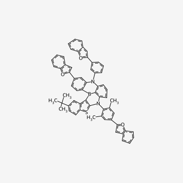 Cc1cc(-c2cc3ccccc3o2)cc(C)c1N1c2cccc3c2B(c2ccc(-c4cc5ccccc5o4)cc2N3c2cccc(-c3cc4ccccc4o3)c2)c2c1sc1ccc(C(C)(C)C)cc21